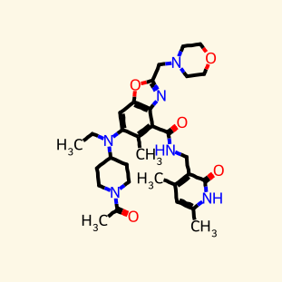 CCN(c1cc2oc(CN3CCOCC3)nc2c(C(=O)NCc2c(C)cc(C)[nH]c2=O)c1C)C1CCN(C(C)=O)CC1